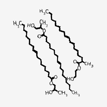 CCCCCCCCC=CCCCCCCC(C)C(=O)OCCO.CCCCCCCCC=CCCCCCCCC(=O)OC(C)CO.CCCCCCCCC=CCCCCCCCC(=O)OCC(C)O